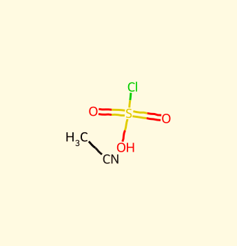 CC#N.O=S(=O)(O)Cl